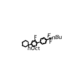 CCCCCCCCC1(c2ccc(-c3ccc(C(F)(F)CCCC)cc3)c(F)c2)CCCCC1